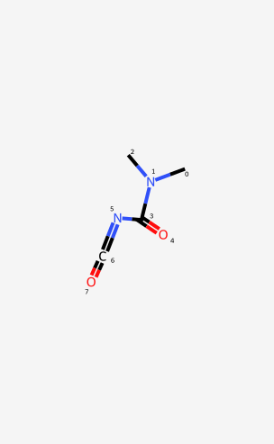 CN(C)C(=O)N=C=O